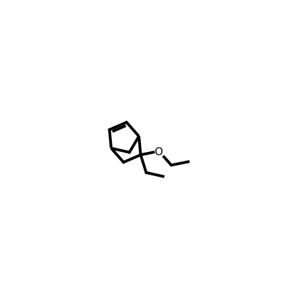 CCOC1(CC)CC2C=CC1C2